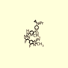 Cc1nc(Nc2ncc(F)c(-c3cc(F)c4nc(C)n(C(C)C)c4c3)n2)ccc1C(=O)N1CCC(N(C(C)C)C2CC2)CC1